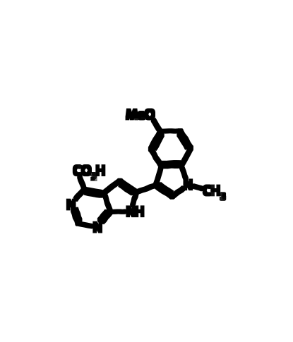 COc1ccc2c(c1)c(-c1cc3c(C(=O)O)ncnc3[nH]1)cn2C